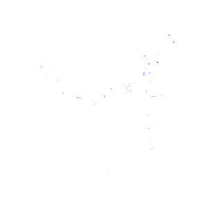 CCCCCCCC/C=C\CCCCCCCC(=O)OCC1CN(C(=O)[C@@H](N)CCCCN)C[C@H]1COC(=O)CCCCCCC/C=C\CCCCCCCC